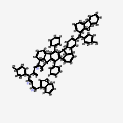 C=C(/C=c1\c(=C)n2c3c(-c4ccccc4)c4c5cccc6c7cc(N(c8ccc(C)cc8)c8cccc9c8oc8ccccc89)ccc7n(c4c(-c4ccccc4)c3c3cccc1c32)c65)N(/C=C/C=C\c1coc2ccccc12)c1ccc(C)cc1